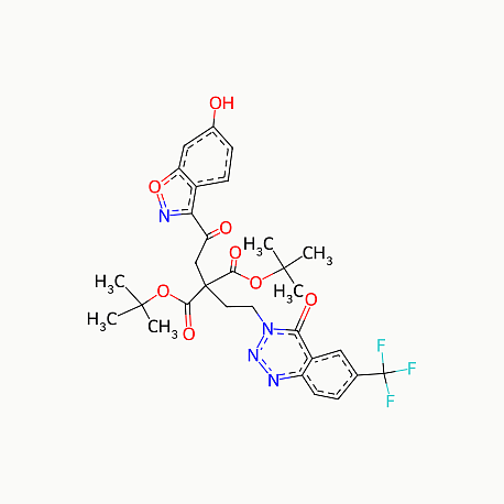 CC(C)(C)OC(=O)C(CCn1nnc2ccc(C(F)(F)F)cc2c1=O)(CC(=O)c1noc2cc(O)ccc12)C(=O)OC(C)(C)C